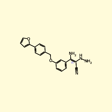 N#C/C(NN)=C(/N)c1cccc(OCc2ccc(-c3ccco3)cc2)c1